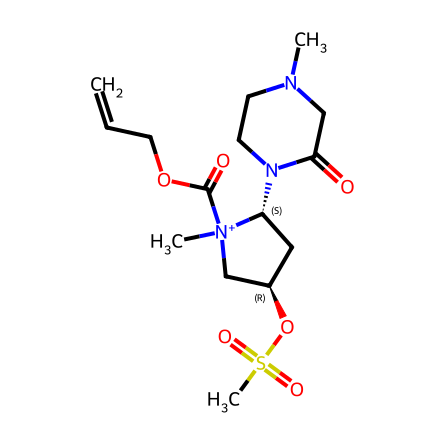 C=CCOC(=O)[N+]1(C)C[C@H](OS(C)(=O)=O)C[C@H]1N1CCN(C)CC1=O